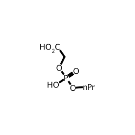 CCCOP(=O)(O)OCC(=O)O